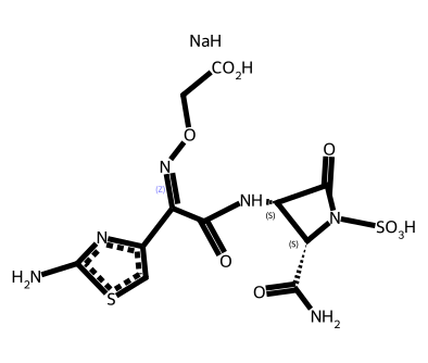 NC(=O)[C@@H]1[C@H](NC(=O)/C(=N\OCC(=O)O)c2csc(N)n2)C(=O)N1S(=O)(=O)O.[NaH]